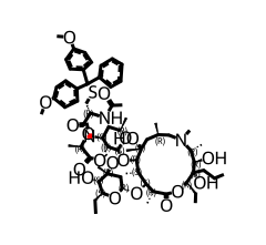 CCC[C@]1(O)[C@H](O)[C@@H](C)N(C)C[C@H](C)C[C@@](C)(O)[C@H](O[C@@H]2O[C@H](C)C[C@H](N(C)C)[C@H]2OC(=O)[C@@H](C)OC(=O)[C@H](CSC(c2ccccc2)(c2ccc(OC)cc2)c2ccc(OC)cc2)NC(C)=O)[C@@H](C)[C@H](O[C@H]2C[C@@](C)(OC)[C@@H](O)[C@H](CC)O2)[C@@H](C)C(=O)O[C@@H]1CC